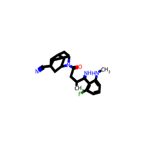 CNc1cccc(F)c1C(=N)C(C)CC(=O)N1C2CC3CC1CC(C#N)(C3)C2